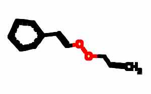 C=CCOOC=Cc1ccccc1